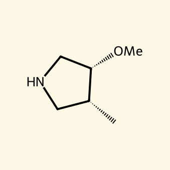 CO[C@H]1CNC[C@H]1C